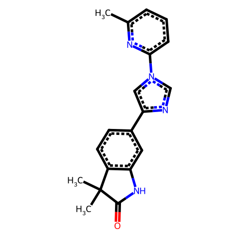 Cc1cccc(-n2cnc(-c3ccc4c(c3)NC(=O)C4(C)C)c2)n1